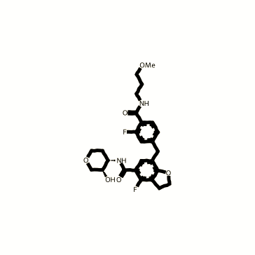 COCCCNC(=O)c1ccc(Cc2cc(C(=O)N[C@H]3CCOC[C@@H]3O)c(F)c3c2OCC3)cc1F